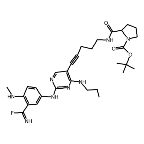 CCCNc1nc(Nc2ccc(NC)c(C(=N)F)c2)ncc1C#CCCCNC(=O)C1CCCN1C(=O)OC(C)(C)C